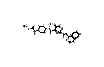 CC(C)(C)OC(=O)N[C@H]1CC[C@H](CNc2nc(NCc3nccc4ccccc34)ncc2[N+](=O)[O-])CC1